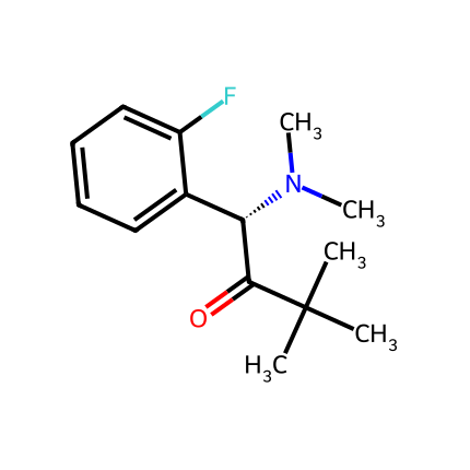 CN(C)[C@H](C(=O)C(C)(C)C)c1ccccc1F